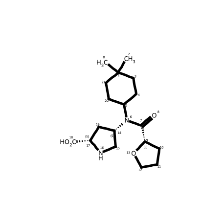 CC1(C)CCC(N(C(=O)[C@@H]2CCCO2)[C@@H]2CN[C@H](C(=O)O)C2)CC1